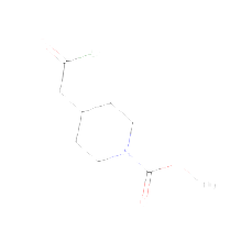 CC(C)(C)OC(=O)N1CCC(CC(=O)Br)CC1